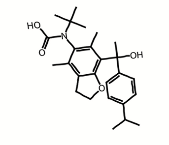 Cc1c2c(c(C(C)(O)c3ccc(C(C)C)cc3)c(C)c1N(C(=O)O)C(C)(C)C)OCC2